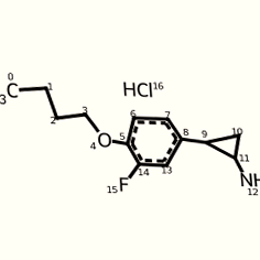 CCCCOc1ccc(C2CC2N)cc1F.Cl